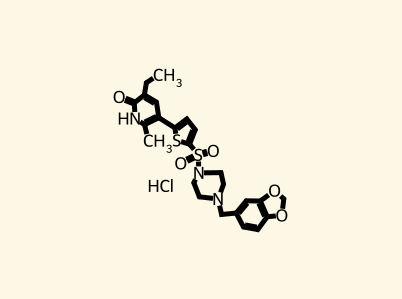 CCc1cc(-c2ccc(S(=O)(=O)N3CCN(Cc4ccc5c(c4)OCO5)CC3)s2)c(C)[nH]c1=O.Cl